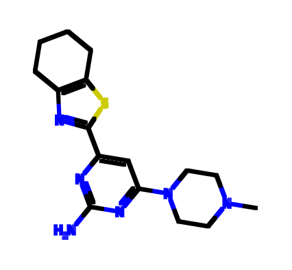 CN1CCN(c2cc(-c3nc4c(s3)CCCC4)nc(N)n2)CC1